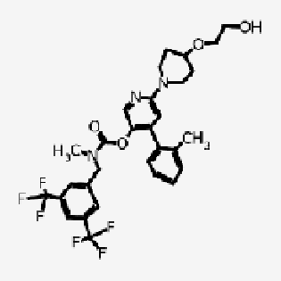 Cc1ccccc1-c1cc(N2CCC(OCCO)CC2)ncc1OC(=O)N(C)Cc1cc(C(F)(F)F)cc(C(F)(F)F)c1